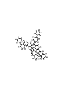 C1=CC2Oc3c(-c4ccc(N(c5ccc(-c6ccccc6)cc5)c5ccc6c(c5)C5(c7ccccc7Sc7ccccc75)c5cc7ccccc7cc5-6)cc4)cccc3C2C=C1